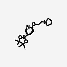 CC1(C)OB(c2ccc(OCCN3CCCC3)nc2)OC1(C)C